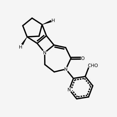 O=Cc1cccnc1N1CCN2C(=CC1=O)C1=C2[C@@H]2CC[C@H]1C2